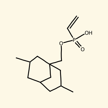 C=CP(=O)(O)OCC12CC(C)CC(CC(C)C1)C2